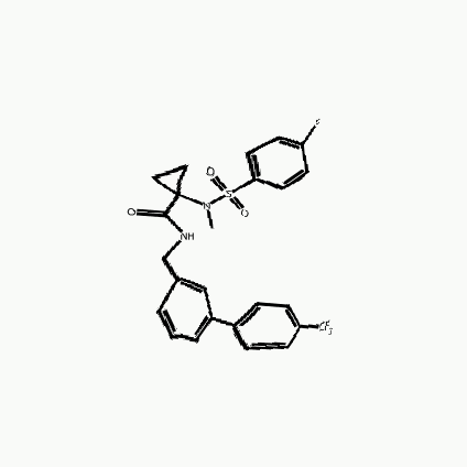 CN(C1(C(=O)NCc2cccc(-c3ccc(C(F)(F)F)cc3)c2)CC1)S(=O)(=O)c1ccc(F)cc1